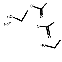 CC(=O)[O-].CC(=O)[O-].CCO.CCO.[Pd+2]